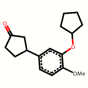 COc1ccc(C2CCC(=O)C2)cc1OC1CCCC1